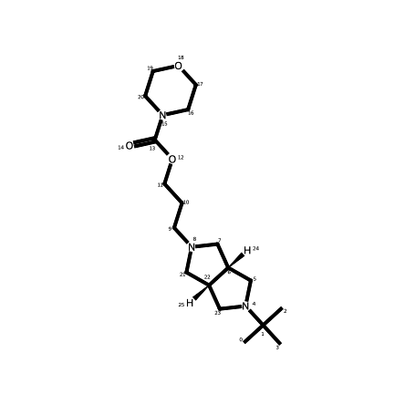 CC(C)(C)N1C[C@H]2CN(CCCOC(=O)N3CCOCC3)C[C@H]2C1